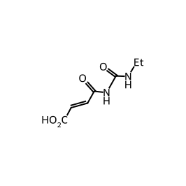 CCNC(=O)NC(=O)C=CC(=O)O